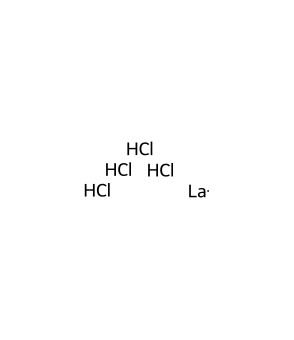 Cl.Cl.Cl.Cl.[La]